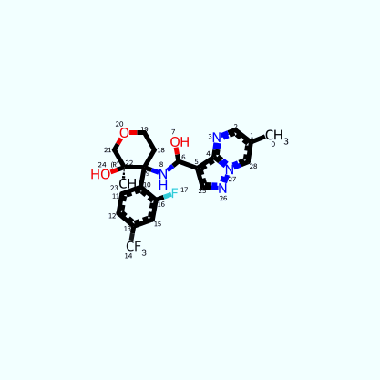 Cc1cnc2c(C(O)NC3(c4ccc(C(F)(F)F)cc4F)CCOC[C@]3(C)O)cnn2c1